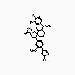 COc1cc(C2CN(C(N)=O)CC23CCCN([C@@H](C)c2cc(F)c(F)c(F)c2)C3=O)ccc1-n1cnc(C)c1